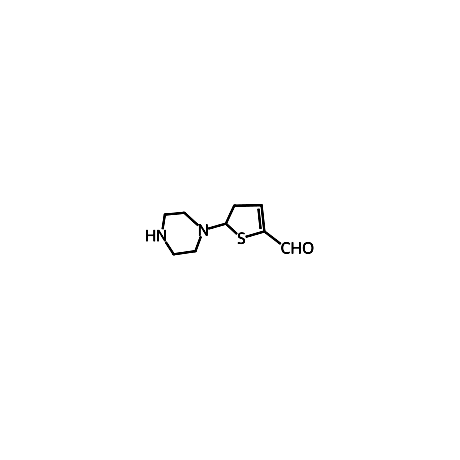 O=CC1=CCC(N2CCNCC2)S1